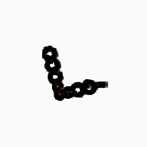 C1CCCCCCCCC1.C1CCCCCCCCC1.C1CCCCCCCCC1.C1CCCCCCCCCCCCCC1.C1CCCCCCCCCCCCCC1.C1CCCCCCCCCCCCCC1.C1CCCCCCCCCCCCCC1.C1CCCCCCCCCCCCCC1.CO.CO